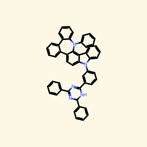 c1ccc(C2=NC(c3ccccc3)NC(c3cccc(-n4c5ccccc5c5c6c(ccc54)-c4ccccc4-c4ccccc4N6c4ccccc4)c3)=N2)cc1